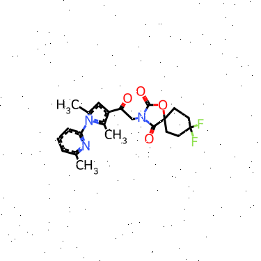 Cc1cccc(-n2c(C)cc(C(=O)CN3C(=O)OC4(CCC(F)(F)CC4)C3=O)c2C)n1